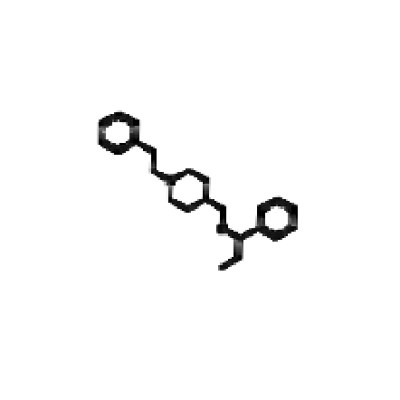 C/C=C(\OCC1CCN(CCc2ccccc2)CC1)c1ccccc1